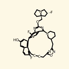 Oc1cc2c3c(c(F)ccc3c1)CCCCc1nc(no1)CC1CCCN(C1)c1nc(OC[C@@]34CCCN3C[C@H](F)C4)nc3c(F)c-2ncc13